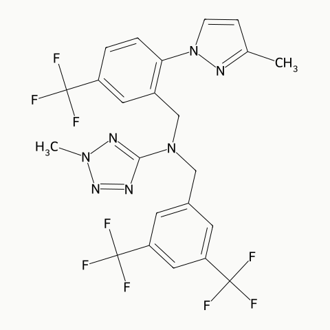 Cc1ccn(-c2ccc(C(F)(F)F)cc2CN(Cc2cc(C(F)(F)F)cc(C(F)(F)F)c2)c2nnn(C)n2)n1